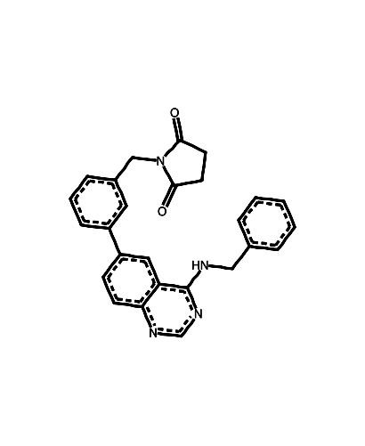 O=C1CCC(=O)N1Cc1cccc(-c2ccc3ncnc(NCc4ccccc4)c3c2)c1